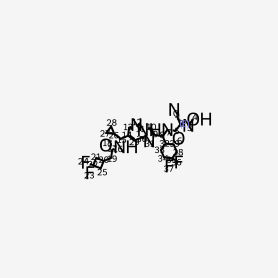 N#C/C(=N\O)C(=O)NC(c1cn2ncc(C(NC(=O)CC3CC(F)(F)C3)C3CC3)cc2n1)C1CCC(F)(F)CC1